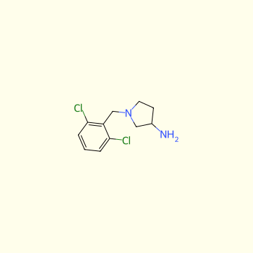 NC1CCN(Cc2c(Cl)cccc2Cl)C1